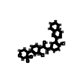 O=C(Nc1ccc(Cl)c(-c2ncc3ccccc3n2)c1)c1ccc(N2CCOCS2(=O)=O)cc1Cl